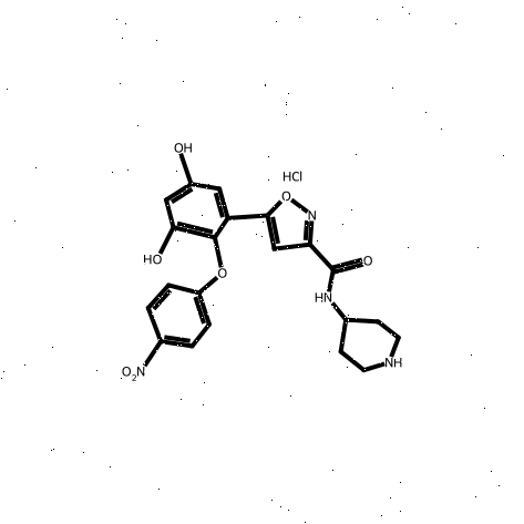 Cl.O=C(NC1CCNCC1)c1cc(-c2cc(O)cc(O)c2Oc2ccc([N+](=O)[O-])cc2)on1